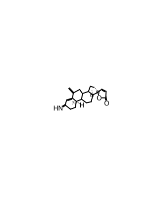 C=C1CC2C(CC[C@@]3(C)C2CC[C@@]32C=CC(=O)O2)[C@H]2CCC(=N)C=C12